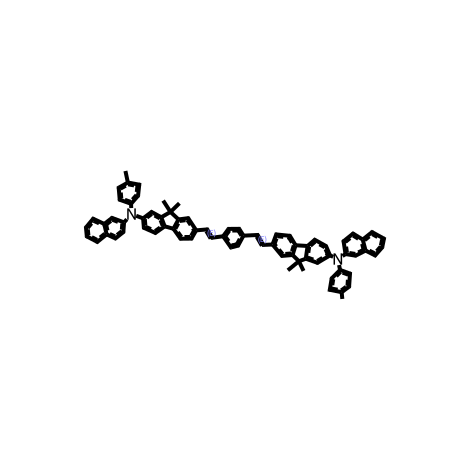 Cc1ccc(N(c2ccc3c(c2)C(C)(C)c2cc(/C=C/c4ccc(/C=C/c5ccc6c(c5)C(C)(C)c5cc(N(c7ccc(C)cc7)c7ccc8ccccc8c7)ccc5-6)cc4)ccc2-3)c2ccc3ccccc3c2)cc1